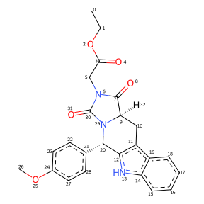 CCOC(=O)CN1C(=O)[C@H]2Cc3c([nH]c4ccccc34)[C@H](c3ccc(OC)cc3)N2C1=O